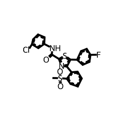 CS(=O)(=O)c1ccccc1-c1nc(C(=O)Nc2cccc(Cl)c2)sc1-c1ccc(F)cc1